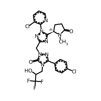 CN1C(=O)CC[C@@H]1c1nc(Cn2nc(-c3ccc(Cl)cc3)n(CC(O)C(F)(F)F)c2=O)nn1-c1ncccc1Cl